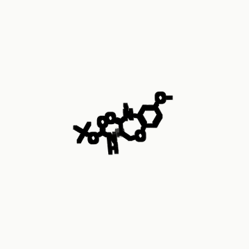 COc1ccc2c(c1)N(C)C(=O)[C@@H](NC(=O)OC(C)(C)C)CO2